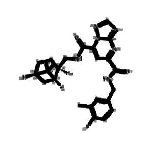 Cc1cc(CNC(=O)c2cc(C(=O)NC[C@@H]3CC[C@H]4C[C@@H]3C4(C)C)n3ncnc3n2)ccc1F